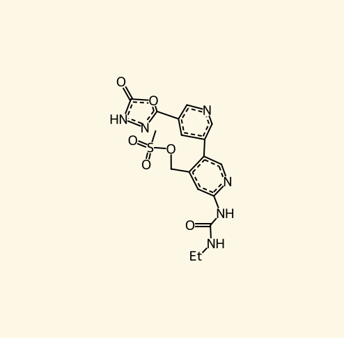 CCNC(=O)Nc1cc(COS(C)(=O)=O)c(-c2cncc(-c3n[nH]c(=O)o3)c2)cn1